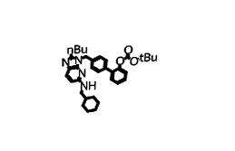 CCCCc1nc2ccc(NCC3CCCCC3)nc2n1Cc1ccc(-c2ccccc2OC(=O)OC(C)(C)C)cc1